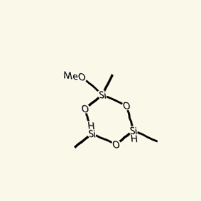 CO[Si]1(C)O[SiH](C)O[SiH](C)O1